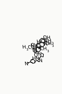 C=C(C)[C@@H]1CC[C@]2(C(=O)N3CCCC3c3ncc(-c4ccc(C#N)cc4)[nH]3)CC[C@]3(C)[C@H](CC[C@@H]4[C@@]5(C)CC[C@H](O)C(C)(C)[C@@H]5CC[C@]43C)[C@@H]12